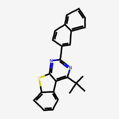 CC(C)(C)c1nc(-c2ccc3ccccc3c2)nc2sc3ccccc3c12